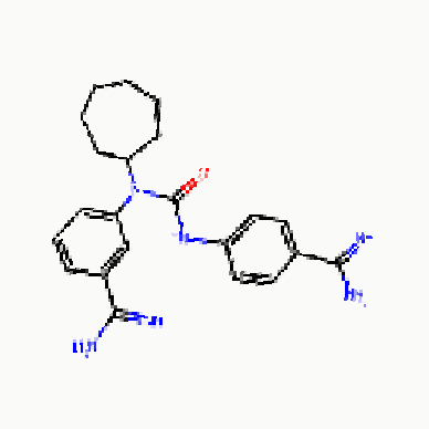 N=C(N)c1ccc(NC(=O)N(c2cccc(C(=N)N)c2)C2CCCCCC2)cc1